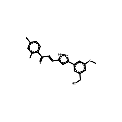 COc1cc(CO)cc(-c2cc(/C=C/C(=O)c3ccc(C)cc3F)[nH]n2)c1